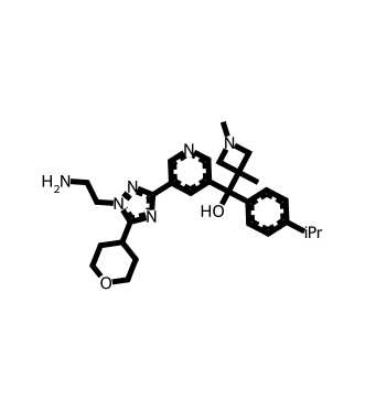 CC(C)c1ccc(C(O)(c2cncc(-c3nc(C4CCOCC4)n(CCN)n3)c2)C2(C)CN(C)C2)cc1